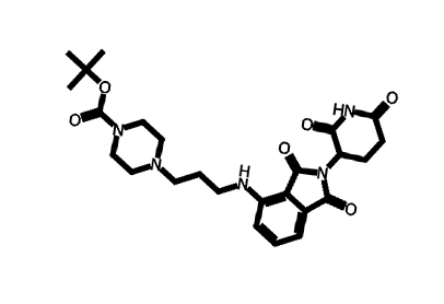 CC(C)(C)OC(=O)N1CCN(CCCNc2cccc3c2C(=O)N(C2CCC(=O)NC2=O)C3=O)CC1